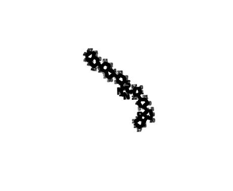 c1cc(-c2ccc(-c3cccc4c3sc3ccccc34)cc2)cc(-c2ncnc3c2sc2ccc(-c4ccc5cc(-c6ccc7ccccc7c6)ccc5c4)cc23)c1